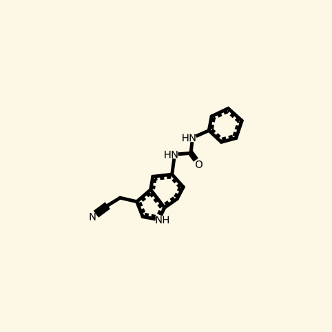 N#CCc1c[nH]c2ccc(NC(=O)Nc3ccccc3)cc12